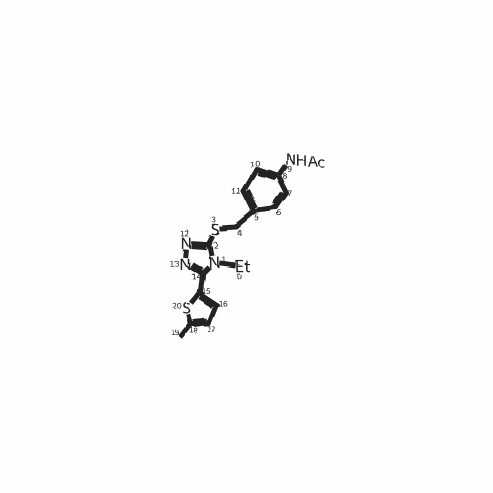 CCn1c(SCc2ccc(NC(C)=O)cc2)nnc1-c1ccc(C)s1